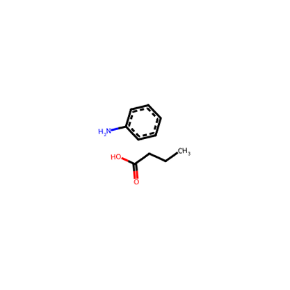 CCCC(=O)O.Nc1ccccc1